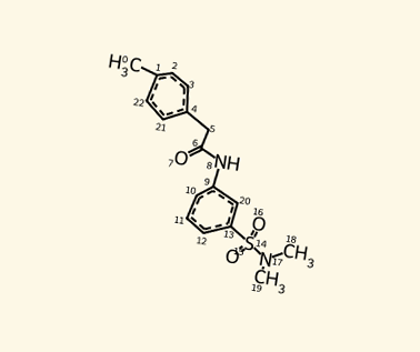 Cc1ccc(CC(=O)Nc2cccc(S(=O)(=O)N(C)C)c2)cc1